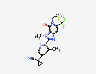 CCn1c(C(F)(F)F)cc2nc(-c3ncc(C4(C#N)CC4)cc3C)n(C)c2c1=O